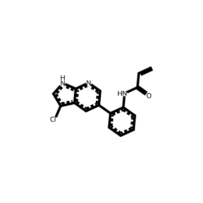 C=CC(=O)Nc1ccccc1-c1cnc2[nH]cc(Cl)c2c1